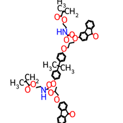 C=C(C)C(=O)OCCNC(=O)OC(COc1ccc(C(C)(C)c2ccc(OCC(COc3ccc4c(c3)-c3ccccc3C4=O)OC(=O)NCCOC(=O)C(=C)C)cc2)cc1)COc1ccc2c(c1)-c1ccccc1C2=O